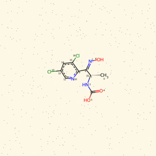 C[C@H](NC(=O)O)C(=NO)c1ncc(Cl)cc1Cl